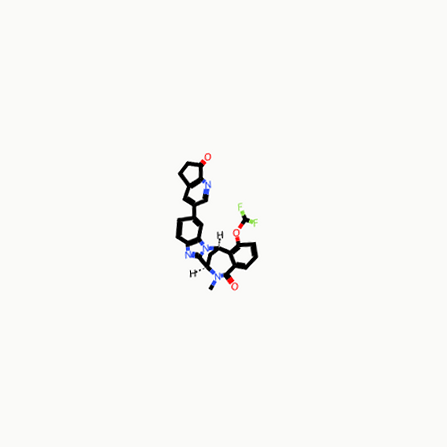 CN1C(=O)c2cccc(OC(F)F)c2[C@H]2C[C@@H]1c1nc3ccc(-c4cnc5c(c4)CCC5=O)cc3n12